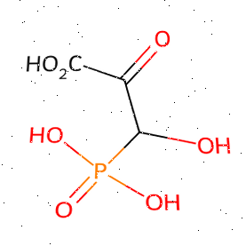 O=C(O)C(=O)C(O)P(=O)(O)O